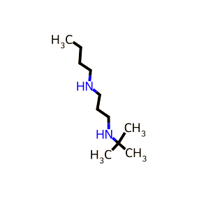 CCCCNCCCNC(C)(C)C